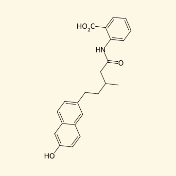 CC(CCc1ccc2cc(O)ccc2c1)CC(=O)Nc1ccccc1C(=O)O